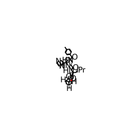 Cc1ccc(C(=O)NC[C@H](NC(=O)c2cnccn2)C(=O)NC(CC(C)C)B2O[C@@H]3C[C@@H]4C[C@@H](C4(C)C)[C@]3(C)O2)cc1